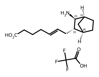 N[C@H]1[C@H]2CC[C@H](C2)[C@@H]1CC=CCCCC(=O)O.O=C(O)C(F)(F)F